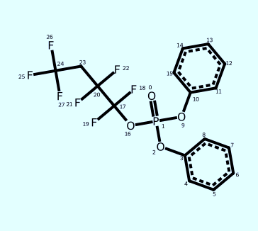 O=P(Oc1ccccc1)(Oc1ccccc1)OC(F)(F)C(F)(F)CC(F)(F)F